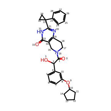 O=C(C(O)c1cccc(OC2CCCC2)c1)N1CCc2nc(C3(c4ccccc4)CC3)[nH]c(=O)c2C1